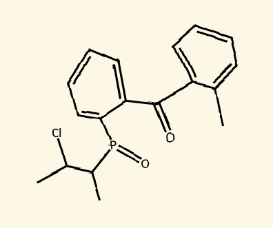 Cc1ccccc1C(=O)c1ccccc1[P](=O)C(C)C(C)Cl